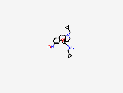 O=Nc1ccc2c(c1)C13CCN(CC4CC4)C(C2)C12CCC(NCC1CC1)C3CO2